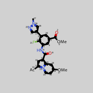 COC(=O)c1cc(NC(=O)c2cc(C(C)=O)n3ccc(OC)cc23)c(F)c(-c2cnn(C)c2)c1